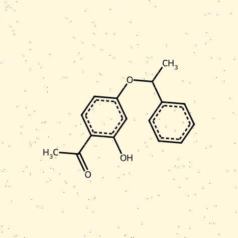 CC(=O)c1ccc(OC(C)c2ccccc2)cc1O